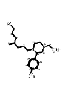 CC(C)CCCC(C)CCCN1CCN(CC(=O)O)CC1c1ccc(C(F)(F)F)cc1